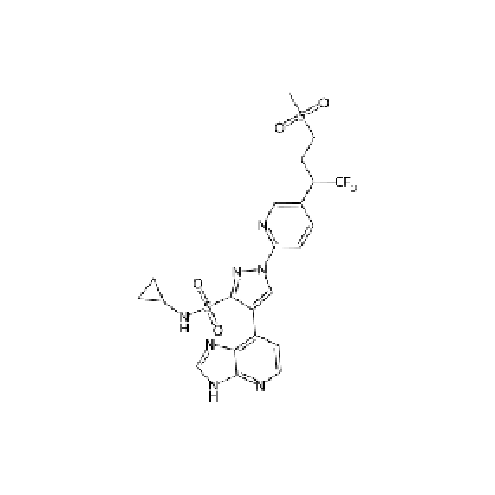 CS(=O)(=O)CCC(c1ccc(-n2cc(-c3ccnc4[nH]cnc34)c(S(=O)(=O)NC3CC3)n2)nc1)C(F)(F)F